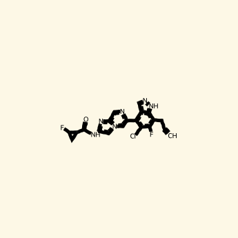 C#CCc1c(F)c(Cl)c(-c2cn3cc(NC(=O)C4CC4F)nc3cn2)c2cn[nH]c12